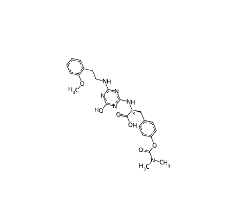 COc1ccccc1CCNc1nc(O)nc(N[C@@H](Cc2ccc(OC(=O)N(C)C)cc2)C(=O)O)n1